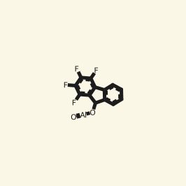 [O]=[Al][O]C1c2ccccc2-c2c(F)c(F)c(F)c(F)c21